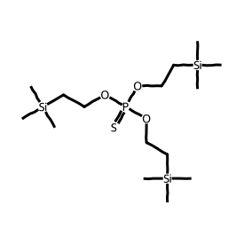 C[Si](C)(C)CCOP(=S)(OCC[Si](C)(C)C)OCC[Si](C)(C)C